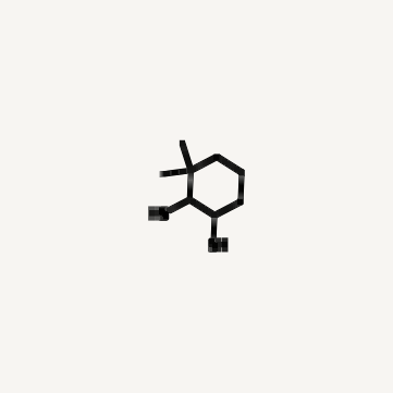 CC1(C)CCCC(S)C1S